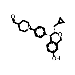 O=CC1CCN(c2ccc([C@H]3c4ccc(O)cc4CO[C@H]3CC3CC3)cc2)CC1